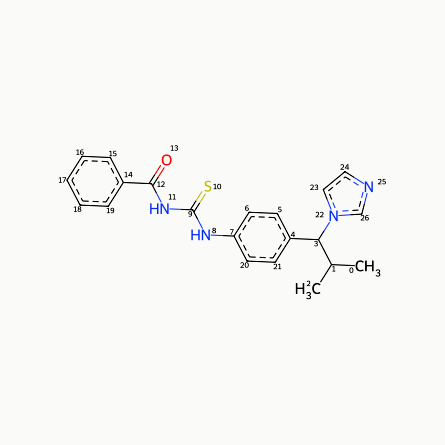 CC(C)C(c1ccc(NC(=S)NC(=O)c2ccccc2)cc1)n1ccnc1